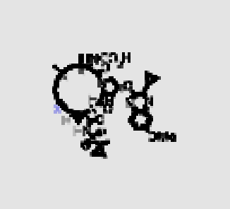 COc1ccc2nc(O[C@@H]3C[C@H]4C(=O)N[C@]5(C(=O)NS(=O)(=O)C6(C)CC6)C[C@H]5/C=C\CC[C@@H](C)C[C@@H](C)[C@H](NC(=O)O)C(=O)N4C3)c(C3CC3)nc2c1